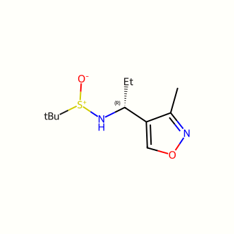 CC[C@@H](N[S+]([O-])C(C)(C)C)c1conc1C